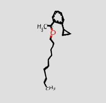 CCCCCCCCCCO[C](C)c1ccccc1C1CC1